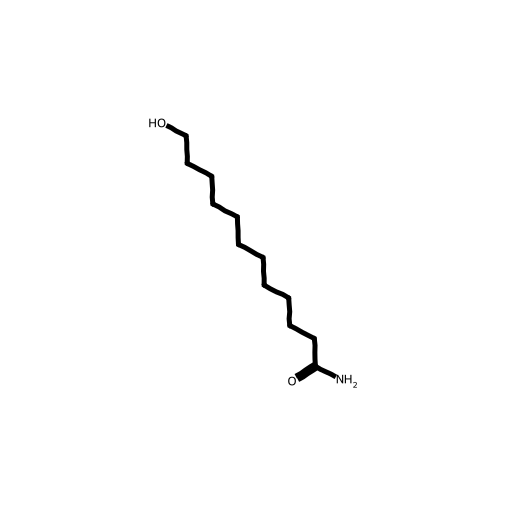 NC(=O)CCCCCCCCCCCO